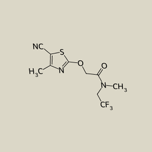 Cc1nc(OCC(=O)N(C)CC(F)(F)F)sc1C#N